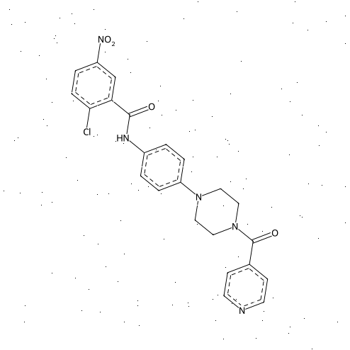 O=C(Nc1ccc(N2CCN(C(=O)c3ccncc3)CC2)cc1)c1cc([N+](=O)[O-])ccc1Cl